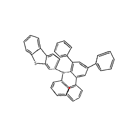 c1ccc(-c2cc(-c3ccccc3)c(N(c3ccccc3)c3ccc4c(c3)sc3ccccc34)c(-c3ccccc3)c2)cc1